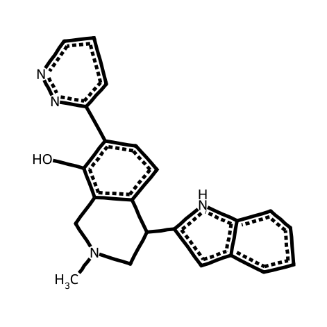 CN1Cc2c(ccc(-c3cccnn3)c2O)C(c2cc3ccccc3[nH]2)C1